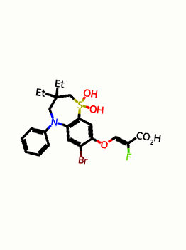 CCC1(CC)CN(c2ccccc2)c2cc(Br)c(OC=C(F)C(=O)O)cc2S(O)(O)C1